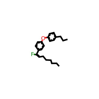 CCCCCC/C=C(/F)c1ccc(Oc2ccc(CCC)cc2)cc1